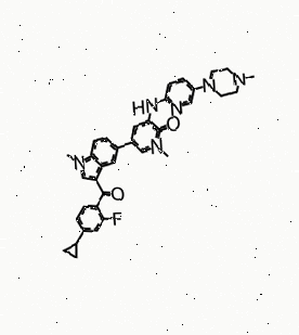 CN1CCN(c2ccc(Nc3cc(-c4ccc5c(c4)c(C(=O)c4ccc(C6CC6)cc4F)cn5C)cn(C)c3=O)nc2)CC1